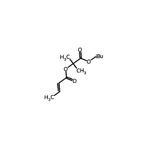 CC=CC(=O)OC(C)(C)C(=O)OC(C)CC